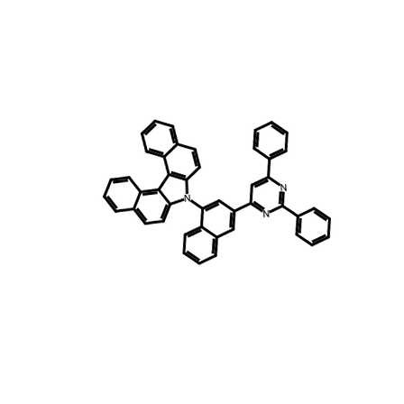 c1ccc(-c2cc(-c3cc(-n4c5ccc6ccccc6c5c5c6ccccc6ccc54)c4ccccc4c3)nc(-c3ccccc3)n2)cc1